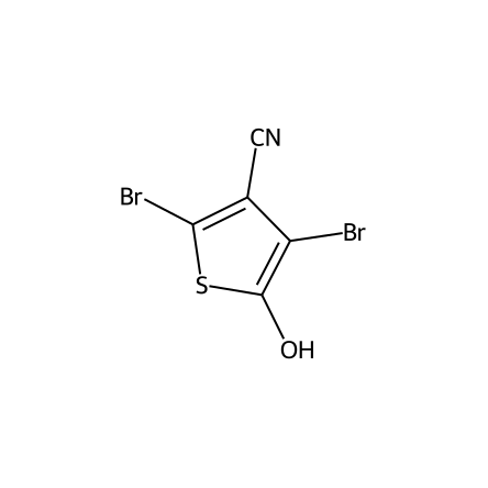 N#Cc1c(Br)sc(O)c1Br